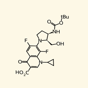 CC(C)(C)OC(=O)N[C@@H]1CCN(c2c(F)cc3c(=O)c(C(=O)O)cn(C4CC4)c3c2F)[C@@H]1CO